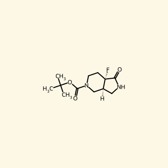 CC(C)(C)OC(=O)N1CC[C@@]2(F)C(=O)NC[C@H]2C1